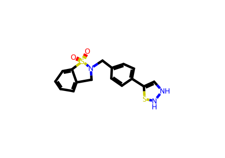 O=S1(=O)c2ccccc2CN1Cc1ccc(C2=CNNS2)cc1